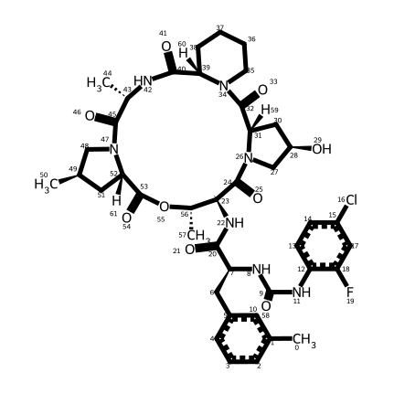 Cc1cccc(C[C@H](NC(=O)Nc2ccc(Cl)cc2F)C(=O)N[C@@H]2C(=O)N3C[C@H](O)C[C@H]3C(=O)N3CCCC[C@H]3C(=O)N[C@@H](C)C(=O)N3C[C@H](C)C[C@H]3C(=O)O[C@H]2C)c1